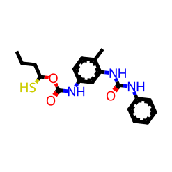 CCCC(S)OC(=O)Nc1ccc(C)c(NC(=O)Nc2ccccc2)c1